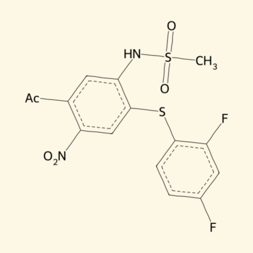 CC(=O)c1cc(NS(C)(=O)=O)c(Sc2ccc(F)cc2F)cc1[N+](=O)[O-]